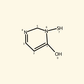 OC1=CC=NCN1S